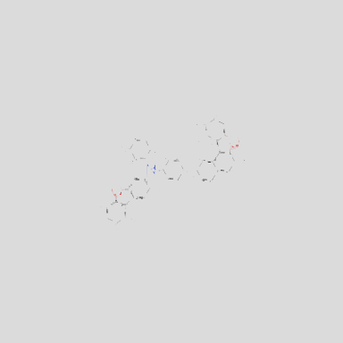 c1ccc(N(c2ccc(-c3ccc4ccc5oc6ccccc6c5c4c3)cc2)c2ccc3c(c2)oc2ccccc23)cc1